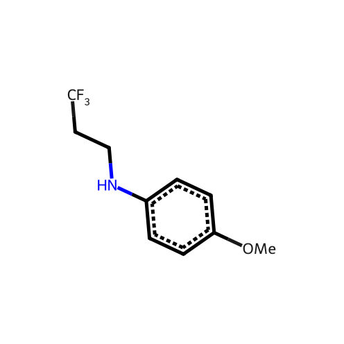 COc1ccc(NCCC(F)(F)F)cc1